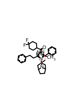 Cc1nnc(CCc2ccccc2)n1C1CC2CCC(C1)N2CC[C@H](NC(=O)C1CCC(F)(F)CC1)c1ccccc1